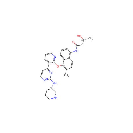 Cc1ccc2c(NC(=O)C[C@H](O)C(F)(F)F)cccc2c1Oc1ncccc1-c1ccnc(N[C@H]2CCCNC2)n1